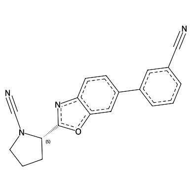 N#Cc1cccc(-c2ccc3nc([C@@H]4CCCN4C#N)oc3c2)c1